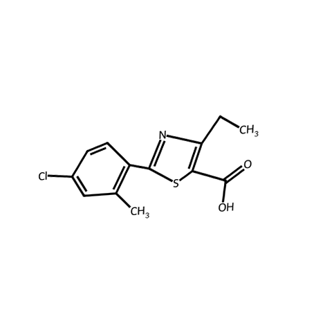 CCc1nc(-c2ccc(Cl)cc2C)sc1C(=O)O